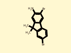 CC1(C)c2cc(Br)ccc2-c2cc(Br)c(N)cc21